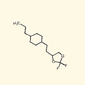 CCCC1CCC(CCC2COC(F)(F)O2)CC1